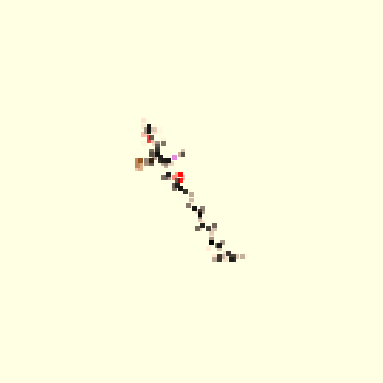 CCCCCCCCCCCCCCCCCCOC/C(I)=C(\Br)COCCCC